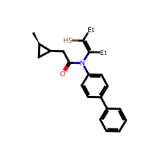 CC/C(S)=C(\CC)N(C(=O)CC1C[C@H]1C)c1ccc(-c2ccccc2)cc1